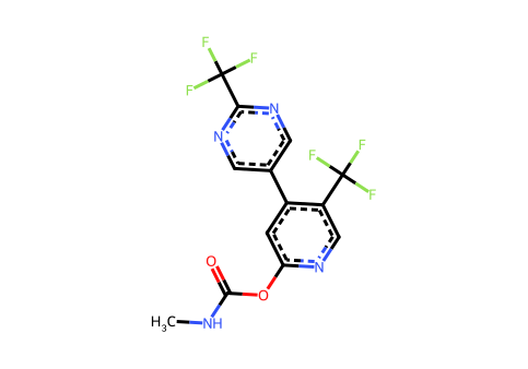 CNC(=O)Oc1cc(-c2cnc(C(F)(F)F)nc2)c(C(F)(F)F)cn1